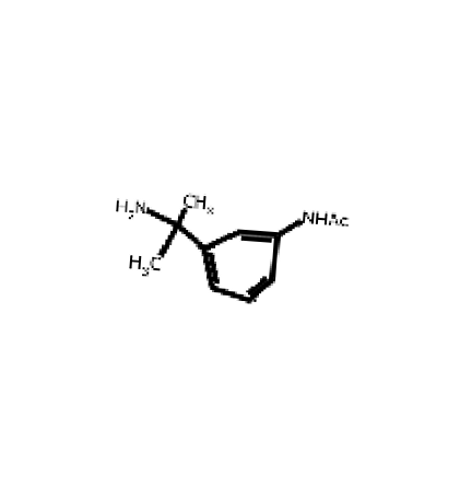 CC(=O)Nc1c[c]cc(C(C)(C)N)c1